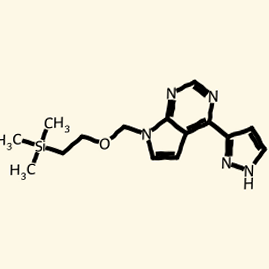 C[Si](C)(C)CCOCn1ccc2c(-c3cc[nH]n3)ncnc21